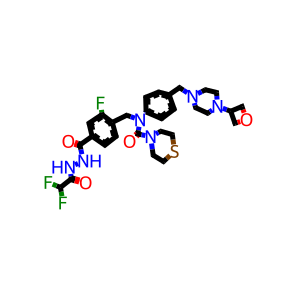 O=C(NNC(=O)C(F)F)c1ccc(CN(C(=O)N2CCSCC2)c2ccc(CN3CCN(C4COC4)CC3)cc2)c(F)c1